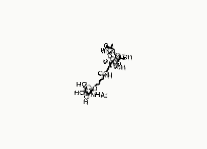 COP(O)(=S)OC1C(CO)OC(n2cc(C)c(=O)[nH]c2=O)C1OCCCCCCNC(=O)CCCCO[C@@H]1O[C@H](CO)[C@H](O)[C@H](O)[C@H]1NC(C)=O